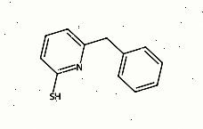 Sc1cccc(Cc2ccccc2)n1